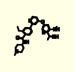 CCc1cc(-c2cc(Oc3cnc(C(C)=N)c(NC)c3)ccn2)ccc1C(=O)NC1CCN(C)CC1